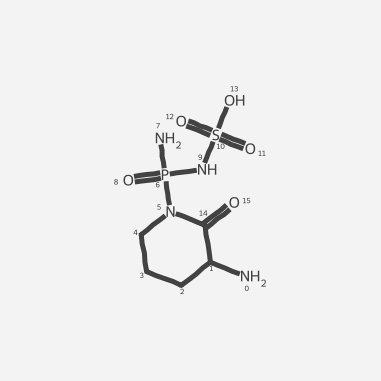 NC1CCCN(P(N)(=O)NS(=O)(=O)O)C1=O